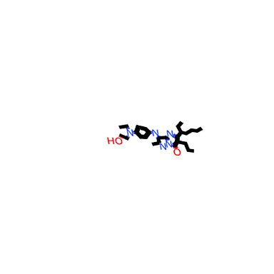 CCCCC(CC)c1nc2n(c(=O)c1CCC)N=C(C)C2=Nc1ccc(N(CC)CCO)cc1